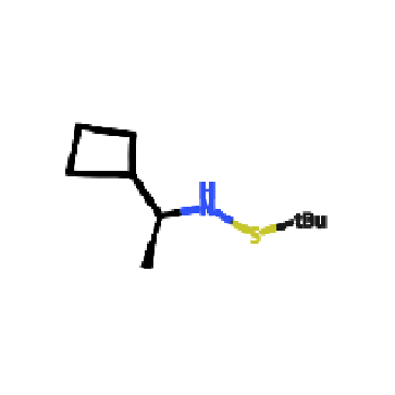 C[C@H](NSC(C)(C)C)C1CCC1